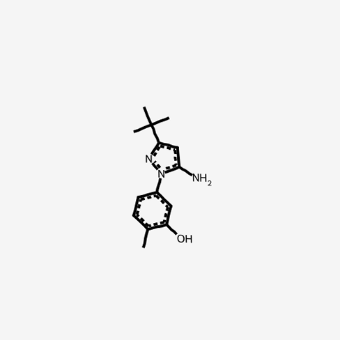 Cc1ccc(-n2nc(C(C)(C)C)cc2N)cc1O